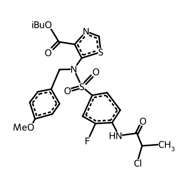 COc1ccc(CN(c2scnc2C(=O)OCC(C)C)S(=O)(=O)c2ccc(NC(=O)C(C)Cl)c(F)c2)cc1